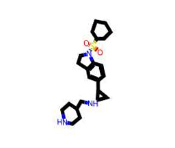 O=S(=O)(C1CCCCC1)N1CCc2cc(C3CC3NCC3CCNCC3)ccc21